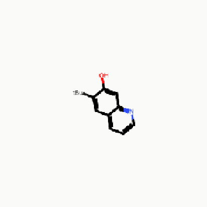 CC(C)(C)c1cc2cccnc2cc1O